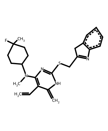 C=CC1=C(N(C)C2CCC(C)(F)CC2)N=C(SCC2=Nc3ccccc3C2)NC1=C